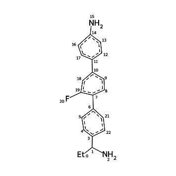 CCC(N)c1ccc(-c2ccc(-c3ccc(N)cc3)cc2F)cc1